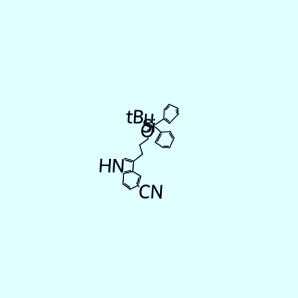 CC(C)(C)[Si](OCCCc1c[nH]c2ccc(C#N)cc12)(c1ccccc1)c1ccccc1